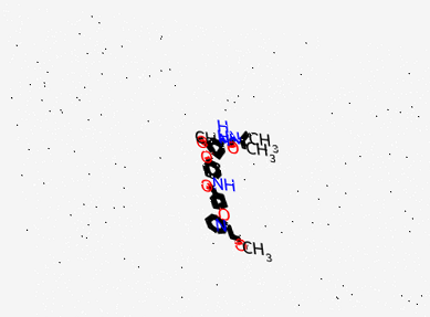 CCC(CC)NC(=O)Nc1ccc(Oc2ccc(NC(=O)c3ccc(OC45CCCC(CC4)N5CCCOC)cc3)cc2)c(OC)c1